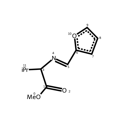 COC(=O)C(N=Cc1ccco1)C(C)C